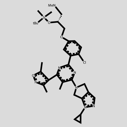 CNC[C@H](COc1ccc(Cl)c(-c2nc(-c3c(C)noc3C)c(C)c(N3Cc4cnn(C5CC5)c4C3)n2)c1)O[Si](C)(C)C(C)(C)C